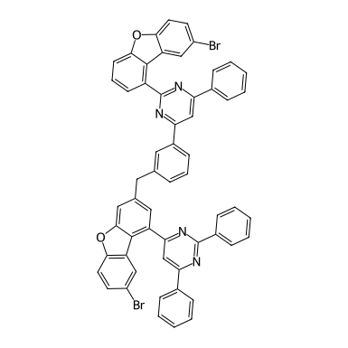 Brc1ccc2oc3cc(Cc4cccc(-c5cc(-c6ccccc6)nc(-c6cccc7oc8ccc(Br)cc8c67)n5)c4)cc(-c4cc(-c5ccccc5)nc(-c5ccccc5)n4)c3c2c1